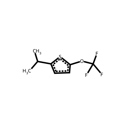 CC(C)c1ccc(OC(F)(F)F)s1